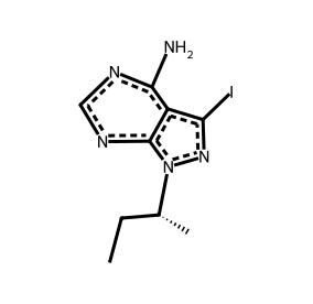 CC[C@@H](C)n1nc(I)c2c(N)ncnc21